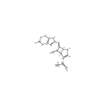 CN1CCc2sc(C=C3C(=O)N4C(C(=O)O)=CSC34)cc2C1